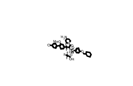 COc1cc(C(F)(F)[C@@H](NS(=O)(=O)c2ccc(OCC3CCCCC3)cc2)C(=O)N2CCC(N)CC2)ccc1-c1ccc(Cl)cc1.O=C(O)C(F)(F)F